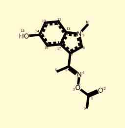 CC(=O)O/N=C(\C)c1cn(C)c2ccc(O)cc12